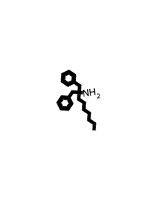 CCCCCCCC(N)(Cc1ccccc1)Cc1ccccc1